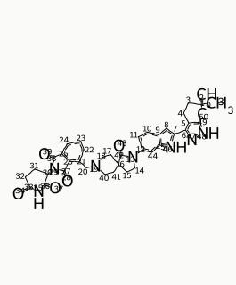 CC1(C)CCc2c(-c3cc4ccc(N5CCC6(CCN(Cc7cccc8c7C(=O)N(C7CCC(=O)NC7=O)C8=O)CC6)C5=O)cc4[nH]3)n[nH]c2C1